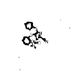 CN(C)S(=O)(=O)n1c(C#N)nc(Sc2ccccc2)c1Sc1ccccc1